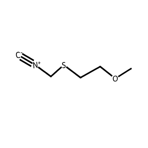 [C-]#[N+]CSCCOC